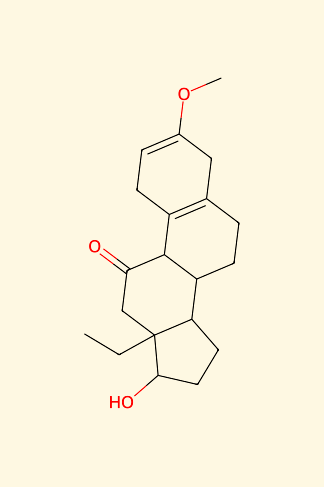 CCC12CC(=O)C3C4=C(CCC3C1CCC2O)CC(OC)=CC4